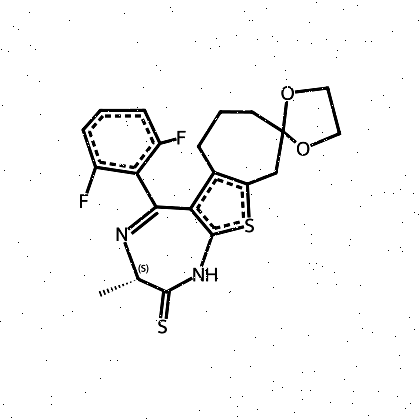 C[C@@H]1N=C(c2c(F)cccc2F)c2c(sc3c2CCCC2(C3)OCCO2)NC1=S